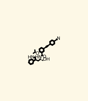 CC(C)Oc1ccc(C#Cc2ccc(C#N)cc2)cc1C(=O)N[C@@H](CO)Cc1c[nH]c2ccccc12